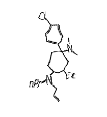 C=CCN(CCC)C1CCC(c2ccc(Cl)cc2)(N(C)C)CC1CC